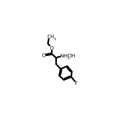 CCOC(=O)C(N)Cc1ccc(F)cc1.Cl